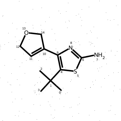 CC(C)(C)c1sc(N)nc1C1=CCOC1